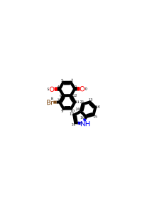 O=C1C=CC(=O)c2c(Br)cccc21.c1ccc2[nH]ccc2c1